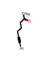 COC(=O)CCCC#CC(C)=O